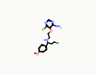 COc1ccc(C(CCF)NCCOc2c(N)ncnc2Cl)cc1